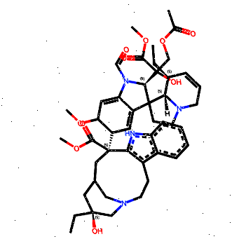 CC[C@H]1C=CCN2CCC3(C4=CC([C@@]5(C(=O)OC)CC6CN(CCc7c5[nH]c5ccccc75)C[C@](O)(CC)C6)C(OC)C=C4N(C=O)[C@H]3C(O)(COC(C)=O)C(=O)OC)[C@H]12